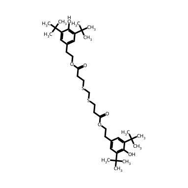 CC(C)(C)c1cc(CCOC(=O)CCSCSCCC(=O)OCCc2cc(C(C)(C)C)c(O)c(C(C)(C)C)c2)cc(C(C)(C)C)c1O